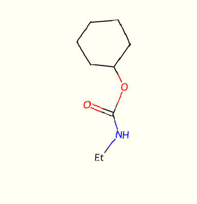 [CH2]CNC(=O)OC1CCCCC1